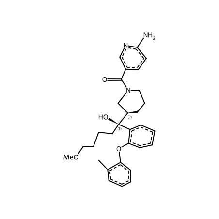 COCCCC[C@@](O)(c1ccccc1Oc1ccccc1C)[C@@H]1CCCN(C(=O)c2ccc(N)nc2)C1